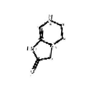 O=C1CN2CCNC=C2N1